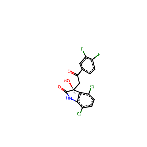 O=C(C[C@@]1(O)C(=O)Nc2c(Cl)ccc(Cl)c21)c1ccc(F)c(F)c1